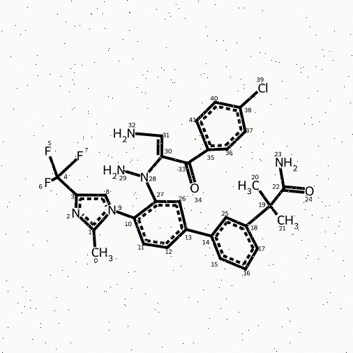 Cc1nc(C(F)(F)F)cn1-c1ccc(-c2cccc(C(C)(C)C(N)=O)c2)cc1N(N)/C(=C\N)C(=O)c1ccc(Cl)cc1